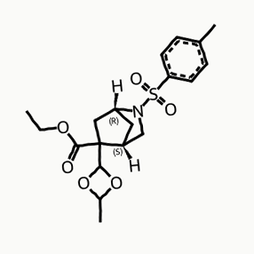 CCOC(=O)C1(C2OC(C)O2)C[C@H]2C[C@@H]1CN2S(=O)(=O)c1ccc(C)cc1